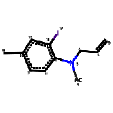 C=CCN(C(C)=O)c1ccc(C)cc1I